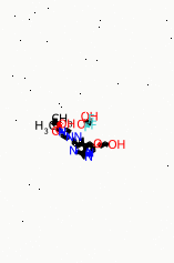 CC(C)[C@H](O)C(=O)N1CCN(c2ccc(-c3cc(OCCCO)cn4ncc(C#N)c34)cn2)CC1.O=C(O)C(F)(F)F